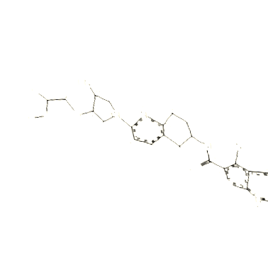 COC(C)COC1CN(c2ccc3c(n2)CCC(NC(=O)c2sc4nc(C)ncc4c2N)C3)CC1N